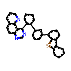 c1cc(-c2ccccc2-c2ncnc3ccc4cccnc4c23)cc(-c2cccc3c2sc2ccccc23)c1